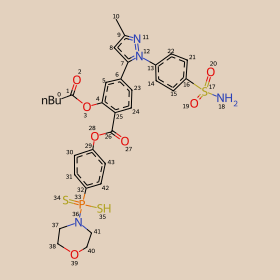 CCCCC(=O)Oc1cc(-c2cc(C)nn2-c2ccc(S(N)(=O)=O)cc2)ccc1C(=O)Oc1ccc(P(=S)(S)N2CCOCC2)cc1